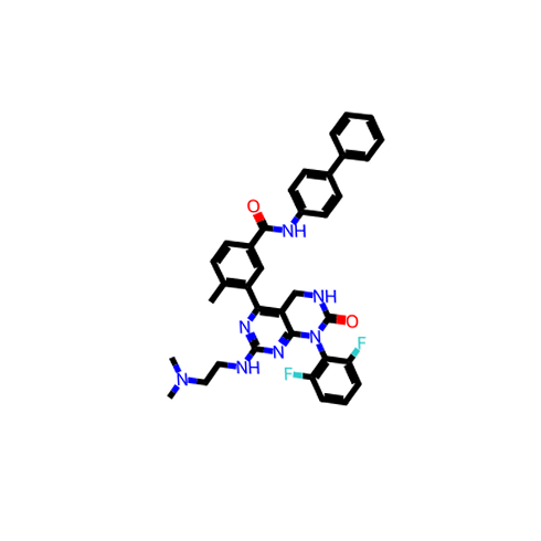 Cc1ccc(C(=O)Nc2ccc(-c3ccccc3)cc2)cc1-c1nc(NCCN(C)C)nc2c1CNC(=O)N2c1c(F)cccc1F